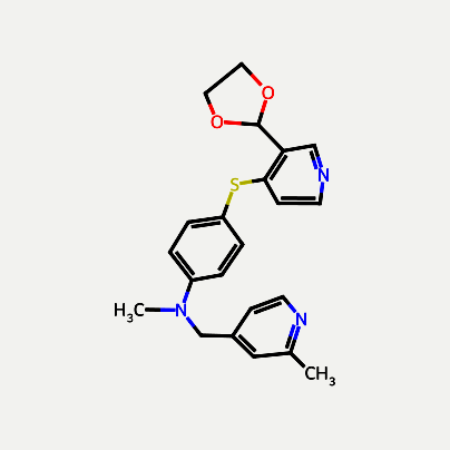 Cc1cc(CN(C)c2ccc(Sc3ccncc3C3OCCO3)cc2)ccn1